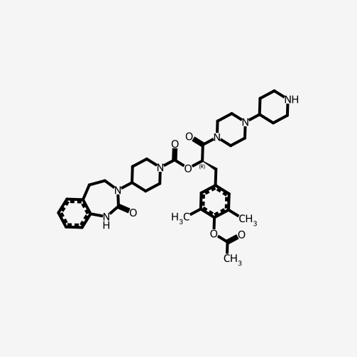 CC(=O)Oc1c(C)cc(C[C@@H](OC(=O)N2CCC(N3CCc4ccccc4NC3=O)CC2)C(=O)N2CCN(C3CCNCC3)CC2)cc1C